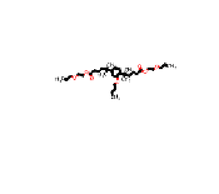 C=CCOCCOC(=O)CCCC(C)(C)c1[c]cc(C(C)(C)CCCC(=O)OCCOCC=C)c(OCCCC)c1